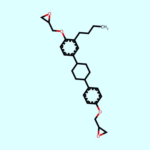 CCCCc1cc(C2CCC(c3ccc(OCC4CO4)cc3)CC2)ccc1OCC1CO1